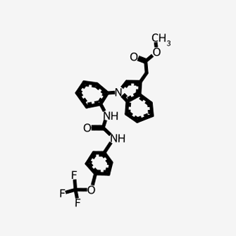 COC(=O)Cc1cn(-c2ccccc2NC(=O)Nc2ccc(OC(F)(F)F)cc2)c2ccccc12